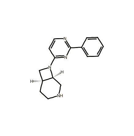 c1ccc(-c2nccc(N3C[C@@H]4CCNC[C@@H]43)n2)cc1